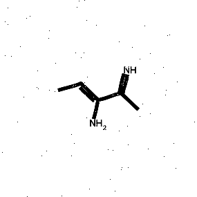 C/C=C(\N)C(C)=N